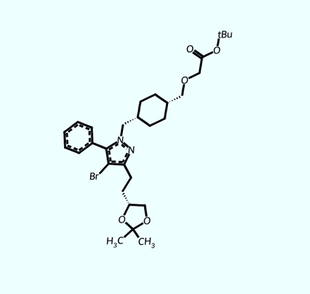 CC(C)(C)OC(=O)COC[C@H]1CC[C@@H](Cn2nc(CC[C@@H]3COC(C)(C)O3)c(Br)c2-c2ccccc2)CC1